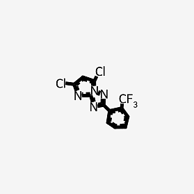 FC(F)(F)c1ccccc1-c1nc2nc(Cl)cc(Cl)n2n1